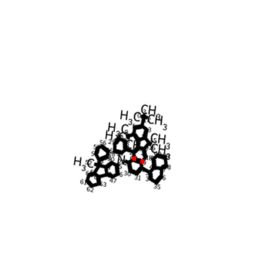 CC(C)(C)c1cc(C(C)(C)C)c2c(c1)C(C)(C)C1=CCCC(c3ccccc3N(C3=C=C=C(c4cccc5ccccc45)C=C3)c3ccc4c(c3)C(C)(c3ccccc3)c3ccccc3-4)=C12